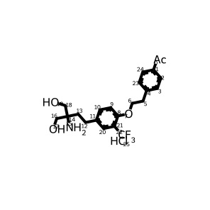 CC(=O)c1ccc(CCOc2ccc(CCC(N)(CO)CO)cc2C(F)(F)F)cc1.Cl